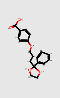 O=C(O)c1ccc(OCCCC2(c3ccccc3)OCCO2)cc1